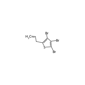 C=CCc1sc(Br)c(Br)c1Br